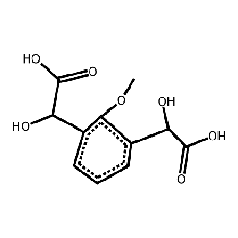 COc1c(C(O)C(=O)O)cccc1C(O)C(=O)O